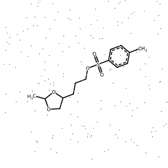 Cc1ccc(S(=O)(=O)OCCCC2COC(C)O2)cc1